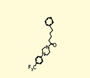 O=C(CCCCc1ccccc1)N1CCN(c2ccc(C(F)(F)F)cc2)CC1